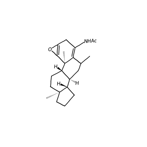 CC(=O)NC1=C2C(C)C[C@H]3[C@@H]4CCC[C@@]4(C)CC[C@@H]3[C@@]2(C)C2=C(C1)O2